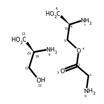 NCC(=O)OC[C@H](N)C(=O)O.N[C@@H](CO)C(=O)O